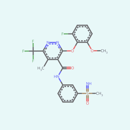 COc1cccc(F)c1Oc1nnc(C(F)(F)F)c(C)c1C(=O)Nc1cccc(S(C)(=N)=O)c1